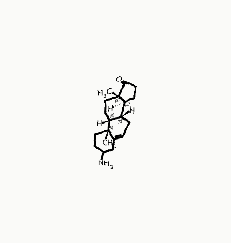 C[C@]12CCC(N)CC1=CC[C@@H]1[C@H]2CC[C@]2(C)C(=O)CC[C@@H]12